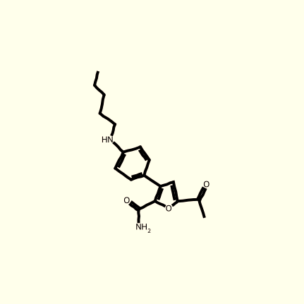 CCCCCNc1ccc(-c2cc(C(C)=O)oc2C(N)=O)cc1